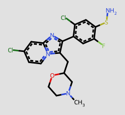 CN1CCOC(Cc2c(-c3cc(F)c(SN)cc3Cl)nc3cc(Cl)ccn23)C1